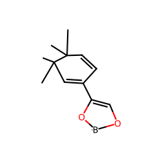 CC1(C)C=CC(C2=CO[B]O2)=CC1(C)C